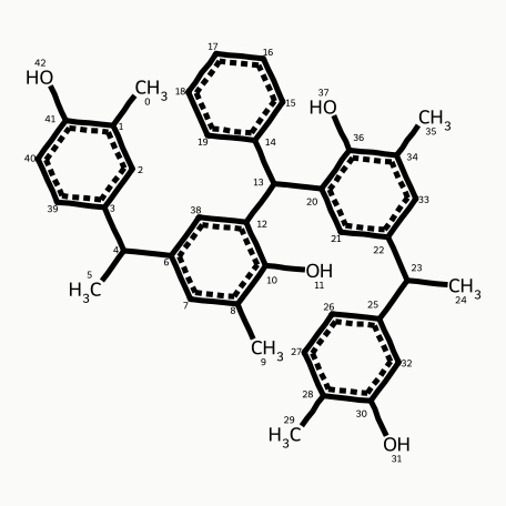 Cc1cc(C(C)c2cc(C)c(O)c(C(c3ccccc3)c3cc(C(C)c4ccc(C)c(O)c4)cc(C)c3O)c2)ccc1O